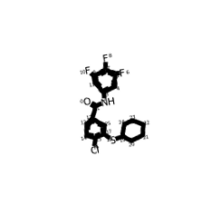 O=C(Nc1cc(F)c(F)c(F)c1)c1ccc(Cl)c(SC2CCCCC2)c1